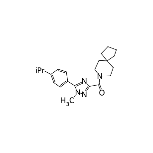 CC(C)c1ccc(-c2nc(C(=O)N3CCC4(CCCC4)CC3)nn2C)cc1